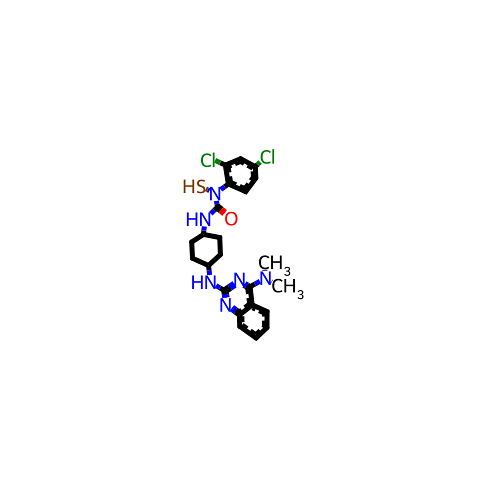 CN(C)c1nc(NC2CCC(NC(=O)N(S)c3ccc(Cl)cc3Cl)CC2)nc2ccccc12